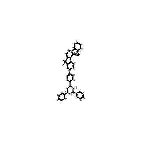 CC1(C)c2cc(-c3ccc(C4C=C(c5ccccc5)N=C(c5ccccc5)N4)cc3)ccc2-c2c1ccc1c2[nH]c2ccccc21